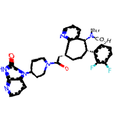 CC(C)(C)N(C(=O)O)[C@@H]1c2cccnc2[C@@H](CC(=O)N2CCC(n3c(=O)[nH]c4ncccc43)CC2)CC[C@H]1c1cccc(F)c1F